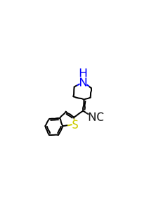 [C-]#[N+]C(=C1CCNCC1)c1cc2ccccc2s1